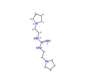 N=C(NCCN1CCCC1)NCCN1CCCC1